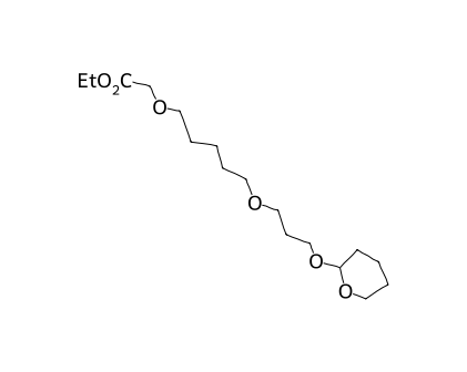 CCOC(=O)COCCCCCOCCCOC1CCCCO1